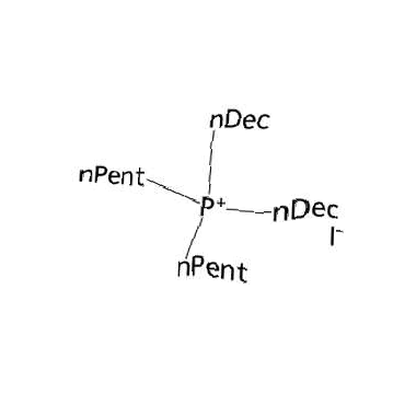 CCCCCCCCCC[P+](CCCCC)(CCCCC)CCCCCCCCCC.[I-]